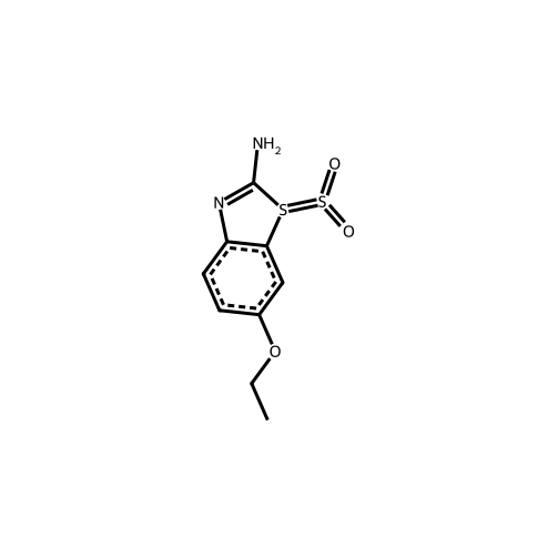 CCOc1ccc2c(c1)S(=S(=O)=O)C(N)=N2